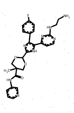 CC1(C(=O)Nc2cccnc2)COC(c2nc(-c3ccc(F)cc3)c(-c3ccnc(NCCN)n3)[nH]2)OC1